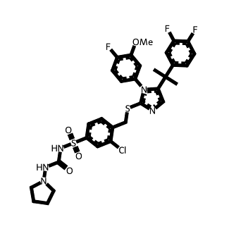 COc1cc(-n2c(C(C)(C)c3ccc(F)c(F)c3)cnc2SCc2ccc(S(=O)(=O)NC(=O)NN3CCCC3)cc2Cl)ccc1F